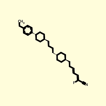 CCc1ccc([C@H]2CC[C@H](CCCC[C@H]3CC[C@H](CC/C=C/C=C(\F)C#N)CC3)CC2)cc1